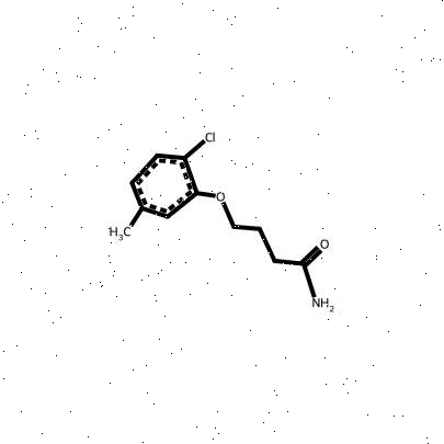 Cc1ccc(Cl)c(OCCCC(N)=O)c1